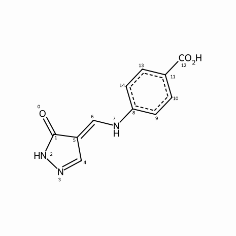 O=C1NN=CC1=CNc1ccc(C(=O)O)cc1